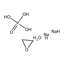 C1CO1.O.O=P(O)(O)O.[NaH].[NaH]